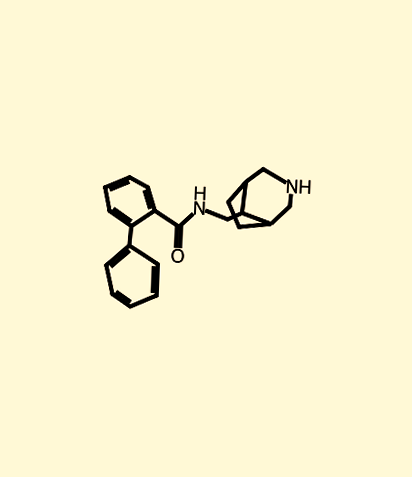 O=C(NCC1C2CCC1CNC2)c1ccccc1-c1ccccc1